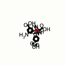 Nc1cc(C(=O)O)c(/N=N\c2c(C(=O)O)nn(-c3ccc(S(=O)(=O)O)cc3)c2O)c(S(=O)(=O)O)c1